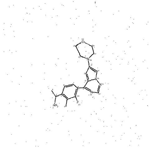 Cc1c(C(C)N)ccc(-c2ncnn3cc(N4CCOCC4)cc23)c1F